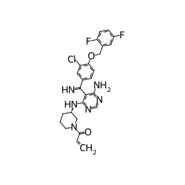 C=CC(=O)N1CCC[C@@H](Nc2ncnc(N)c2C(=N)c2ccc(OCc3cc(F)ccc3F)c(Cl)c2)C1